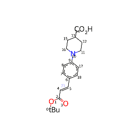 CC(C)(C)OC(=O)/C=C/c1ccc(N2CCC(C(=O)O)CC2)cc1